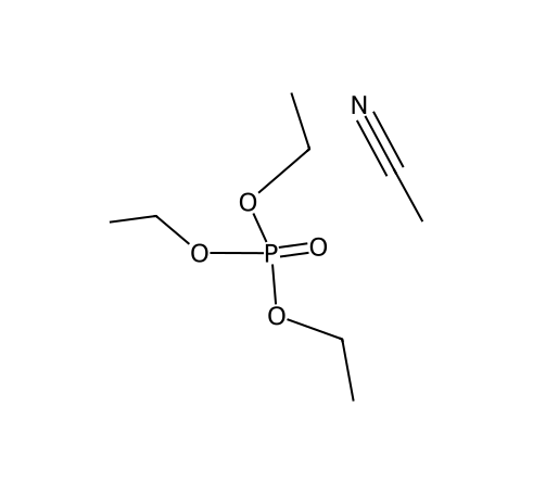 CC#N.CCOP(=O)(OCC)OCC